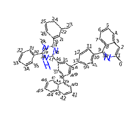 Cc1cc2ccccc2c(-c2ccc(-c3cc(C4=NC(C5=CC(C)CC=C5)N(C)C(c5ccccc5)N4)cc(-c4cccc5ccccc45)c3)cc2)n1